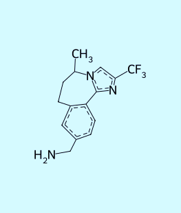 CC1CCc2cc(CN)ccc2-c2nc(C(F)(F)F)cn21